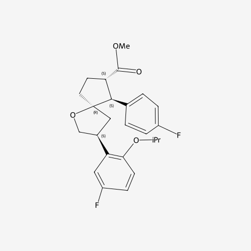 COC(=O)[C@H]1CC[C@@]2(C[C@@H](c3cc(F)ccc3OC(C)C)CO2)[C@@H]1c1ccc(F)cc1